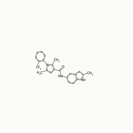 Cc1cc2cc(NC(=O)c3cc(C)n(-c4ccccc4C(F)(F)F)c3C)ccc2[nH]1